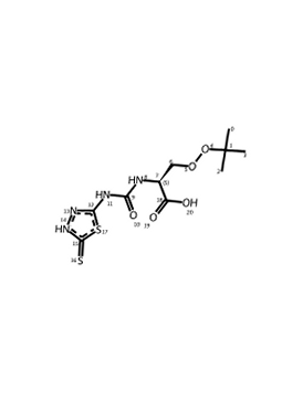 CC(C)(C)OOC[C@H](NC(=O)Nc1n[nH]c(=S)s1)C(=O)O